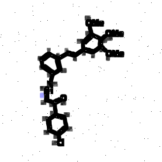 COc1cc(C=Cc2cccc(N/C=C\C(=O)c3ccc(Cl)cc3)c2)cc(OC)c1OC